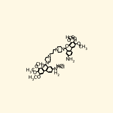 COc1cc(-c2ccc(N)cc2C(=O)N2CCN(CCCN3CCN(C(=O)c4cc(N)ccc4-c4cc(OC)c(OC)c(OC)c4)CC3)CC2)cc(OC)c1OC.Cl.Cl